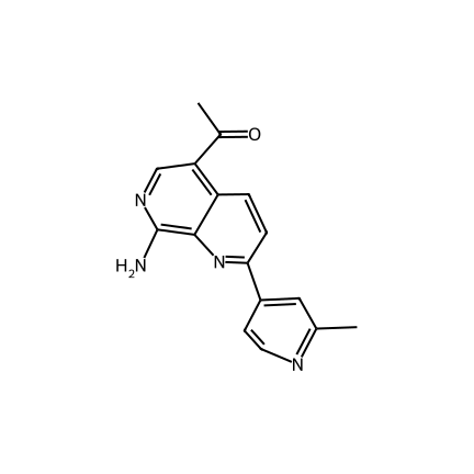 CC(=O)c1cnc(N)c2nc(-c3ccnc(C)c3)ccc12